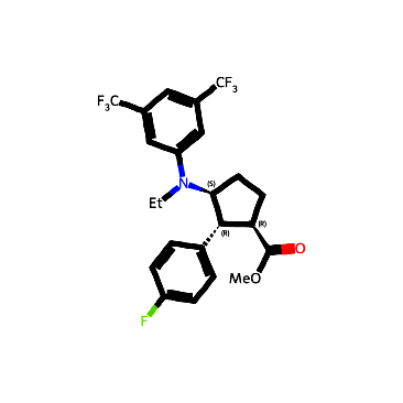 CCN(c1cc(C(F)(F)F)cc(C(F)(F)F)c1)[C@H]1CC[C@@H](C(=O)OC)[C@@H]1c1ccc(F)cc1